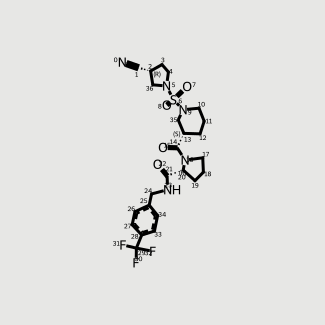 N#C[C@@H]1CCN(S(=O)(=O)N2CCC[C@H](C(=O)N3CCC[C@@H]3C(=O)NCc3ccc(C(F)(F)F)cc3)C2)C1